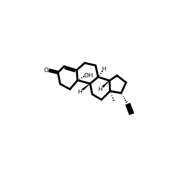 C#C[C@H]1CC[C@H]2[C@@H]3CCC4=CC(=O)CC[C@]4(O)[C@H]3CC[C@]12C